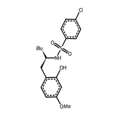 CC[C@H](C)[C@H](Cc1ccc(OC)cc1O)NS(=O)(=O)c1ccc(Cl)cc1